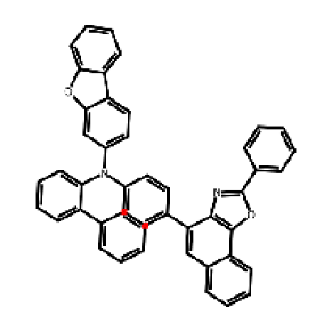 c1ccc(-c2nc3c(-c4ccc(N(c5ccc6c(c5)oc5ccccc56)c5ccccc5-c5ccccc5)cc4)cc4ccccc4c3o2)cc1